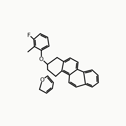 C1=CCOC=C1.Cc1c(F)cccc1OC1CCc2c(ccc3c2ccc2ccccc23)C1